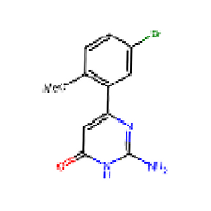 COc1ccc(Br)cc1-c1cc(=O)[nH]c(N)n1